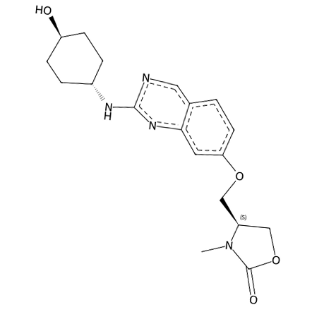 CN1C(=O)OC[C@@H]1COc1ccc2cnc(N[C@H]3CC[C@H](O)CC3)nc2c1